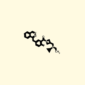 CCN(CC1CN(C(=O)c2cc(Cc3nncc4ccccc34)ccc2F)C1)C1CC1